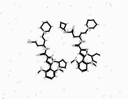 CCC(CC)n1nc(C(=O)NC(CCN2CCCCC2)CC(=O)NC2CCC2)cc1-c1c(OC)cccc1OC.COc1cccc(OC)c1-c1cc(C(=O)NC(CCO)CCN2CCCCC2)nn1C1CCCC1